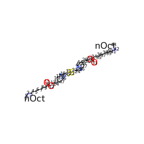 CCCCCCCC/C=C\CCCCCCCC(=O)OCCC1CCN(CCSSCCN2CCC(CCOC(=O)CCCCCCC/C=C\CCCCCCCC)CC2)CC1